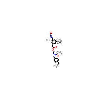 C=Cc1ccc(CN(CCOC(=O)CC2CC(C)(C)CC(C)(CN=C=O)C2)C(C)=O)cc1